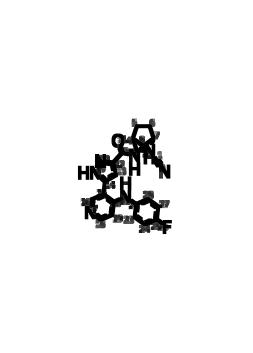 N#CN1CC2CCC1[C@@H]2NC(=O)c1cc(-c2cnccc2Nc2ccc(F)cc2)[nH]n1